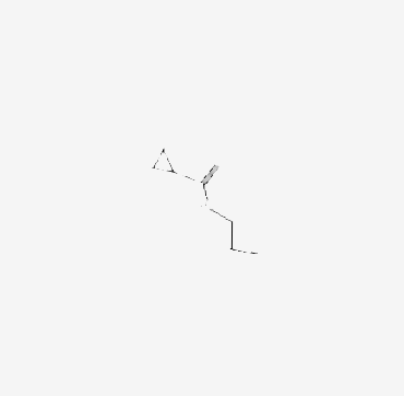 CCCNC(=O)C1CC1